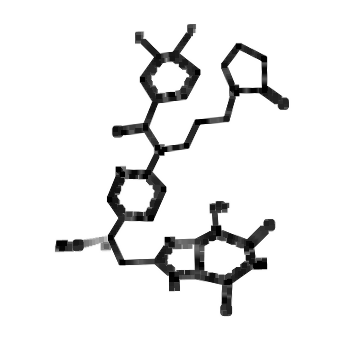 CCCn1c(=O)[nH]c(=O)c2[nH]c(C[C@H](OC)c3ccc(N(CCCN4CCCC4=O)C(=O)c4ccc(F)c(F)c4)nc3)nc21